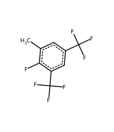 Cc1cc(C(F)(F)F)cc(C(F)(F)F)c1F